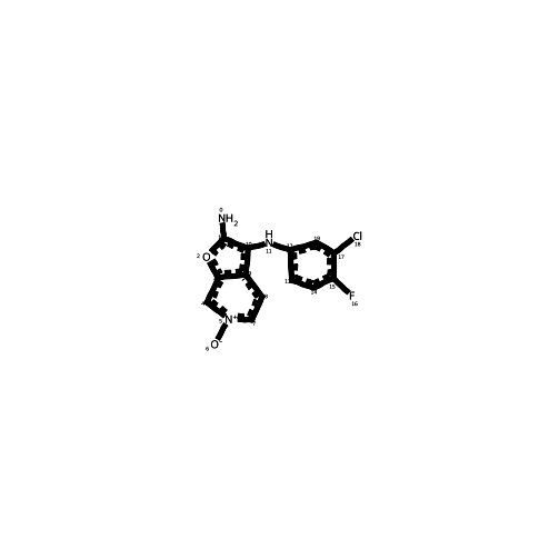 Nc1oc2c[n+]([O-])ccc2c1Nc1ccc(F)c(Cl)c1